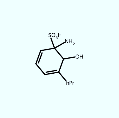 CCCC1=CC=CC(N)(S(=O)(=O)O)C1O